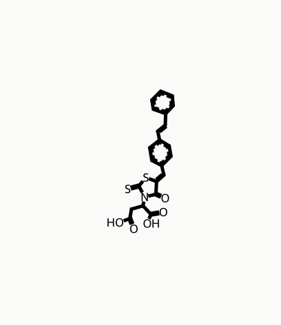 O=C(O)CC(C(=O)O)N1C(=O)C(=Cc2ccc(C=Cc3ccccc3)cc2)SC1=S